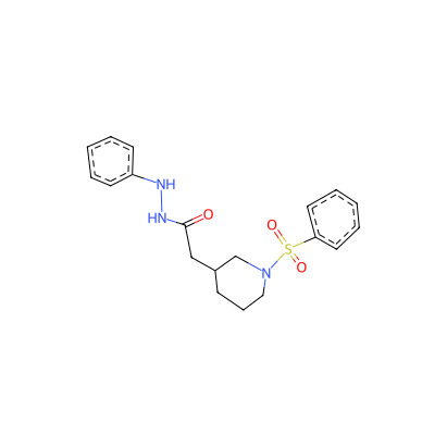 O=C(CC1CCCN(S(=O)(=O)c2ccccc2)C1)NNc1ccccc1